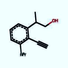 C#Cc1c(CCC)cccc1[C](C)CO